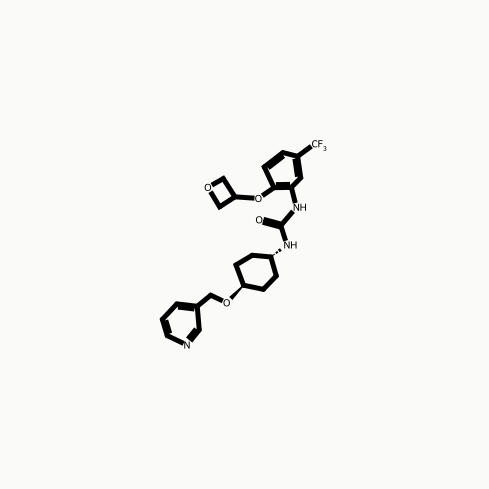 O=C(Nc1cc(C(F)(F)F)ccc1OC1COC1)N[C@H]1CC[C@H](OCc2cccnc2)CC1